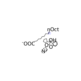 CCCCCCCC/C=C\CCCCCCCC(=O)[O-].C[N+]1(C)CCC(OC(=O)C(O)(c2ccccc2)C2CCCC2)C1